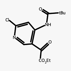 CCOC(=O)C(=O)c1cnc(Cl)cc1NC(=O)C(C)(C)C